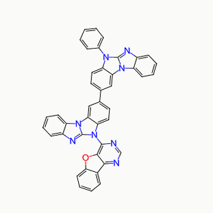 c1ccc(-n2c3ccc(-c4ccc5c(c4)n4c6ccccc6nc4n5-c4ncnc5c4oc4ccccc45)cc3n3c4ccccc4nc23)cc1